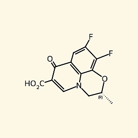 C[C@@H]1Cn2cc(C(=O)O)c(=O)c3cc(F)c(F)c(c32)O1